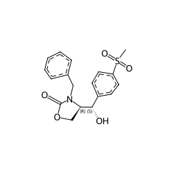 CS(=O)(=O)c1ccc([C@H](O)[C@H]2COC(=O)N2Cc2ccccc2)cc1